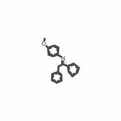 COc1ccc(/N=C(\Cc2ccccc2)c2ccccc2)cc1